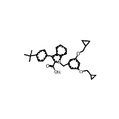 CC(C)(C)c1ccc(-c2c(C(=O)O)n(Cc3cc(OCC4CC4)cc(OCC4CC4)c3)c3ccccc23)cc1